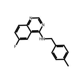 Cc1ccc(CNc2ncnc3ccc(F)cc23)cc1